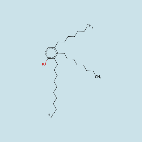 CCCCCCCCCCc1c(O)ccc(CCCCCCC)c1CCCCCCCC